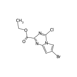 CCOC(=O)c1nc(Cl)n2cc(Br)cc2n1